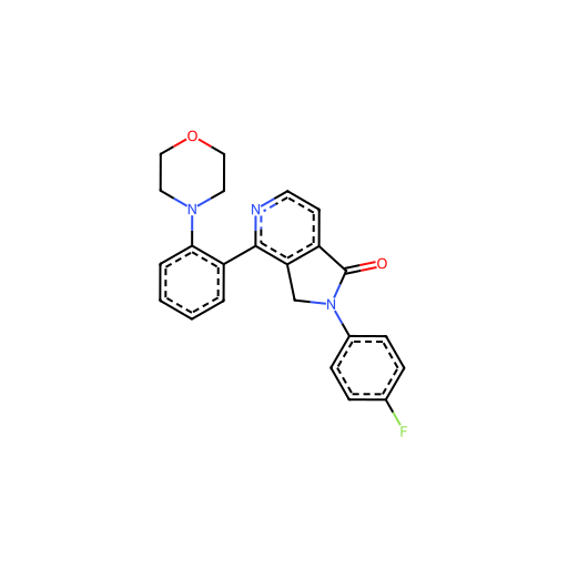 O=C1c2ccnc(-c3ccccc3N3CCOCC3)c2CN1c1ccc(F)cc1